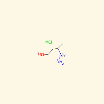 CC(CCO)NN.Cl